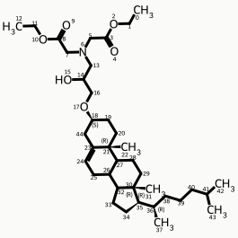 CCOC(=O)CN(CC(=O)OCC)CC(O)CO[C@H]1CC[C@@]2(C)C(=CCC3C2CC[C@@]2(C)C3CC[C@@H]2[C@H](C)CCCC(C)C)C1